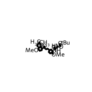 COc1ccc(/C=C/C(=O)c2ccc(OC)c3c2OC(C)(C)C=C3)cc1NC(=O)CNC(=O)OC(C)(C)C